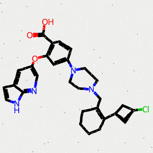 O=C(O)c1ccc(N2CCN(CC3=C(C45CC(Cl)(C4)C5)CCCC3)CC2)cc1Oc1cnc2[nH]ccc2c1